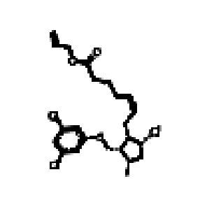 C=CCOC(=O)CCC/C=C\C[C@@H]1[C@@H](CSc2cc(Cl)cc(Cl)c2)[C@H](C)C[C@H]1Cl